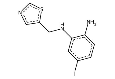 Nc1ccc(I)cc1NCc1cncs1